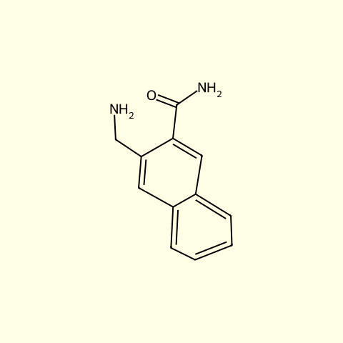 NCc1cc2ccccc2cc1C(N)=O